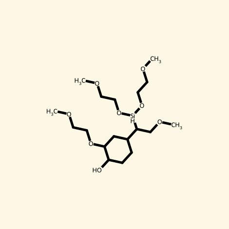 COCCOC1CC(C(COC)[SiH](OCCOC)OCCOC)CCC1O